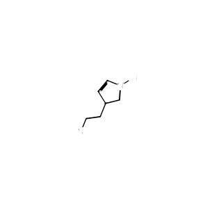 CN1C=CC(CCN)C1